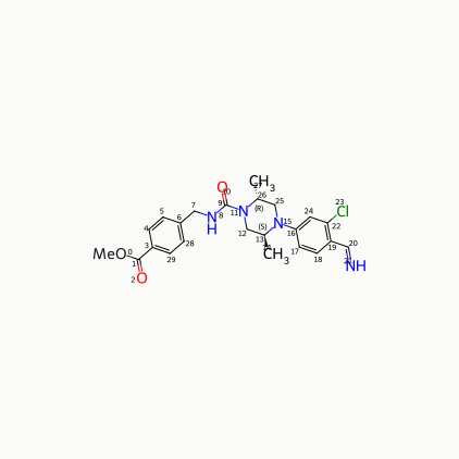 COC(=O)c1ccc(CNC(=O)N2C[C@H](C)N(c3ccc(C=N)c(Cl)c3)C[C@H]2C)cc1